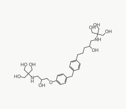 OCC(CO)(CO)NCC(O)CCCc1ccc(Cc2ccc(OCC(O)CNC(CO)(CO)CO)cc2)cc1